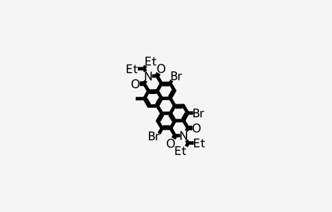 CCC(CC)N1C(=O)c2c(C)cc3c4cc(Br)c5c6c(c(Br)cc(c7cc(Br)c(c2c37)C1=O)c64)C(=O)N(C(CC)CC)C5=O